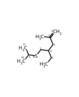 C=C(C)CC(CC)CSC(C)C